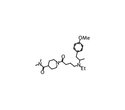 CCN(CCCC(=O)N1CCC(C(=O)N(C)C)CC1)C(C)Cc1ccc(OC)cc1